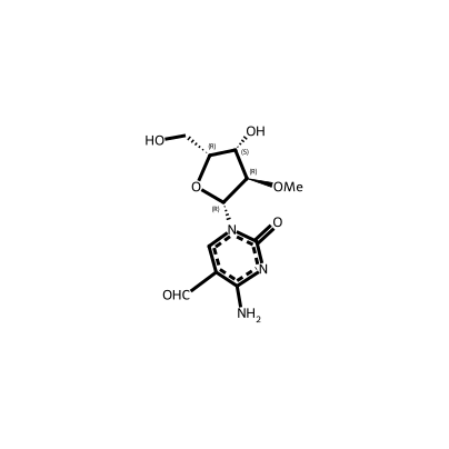 CO[C@@H]1[C@@H](O)[C@@H](CO)O[C@H]1n1cc(C=O)c(N)nc1=O